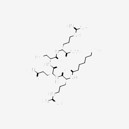 CCCCCCCCCCCCCCCC(=O)N[C@@H](CCCNC(=N)N)C(=O)N[C@@H](CCC(N)=O)C(=O)N[C@H](C(=O)N[C@@H](CCCNC(=N)N)C(=O)NC)[C@@H](C)O